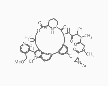 CCn1c(-c2cnccc2COC)c2c3cc(ccc31)-c1cc(O)cc(c1)C[C@H](NC(=O)C(C(C)C)N(C)C(=O)CN(C)C(=O)[C@H]1CN1C(C)=O)C(=O)N1CCC[C@H](N1)C(=O)OCC(C)(C)C2